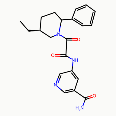 CC[C@H]1CCC(c2ccccc2)N(C(=O)C(=O)Nc2cncc(C(N)=O)c2)C1